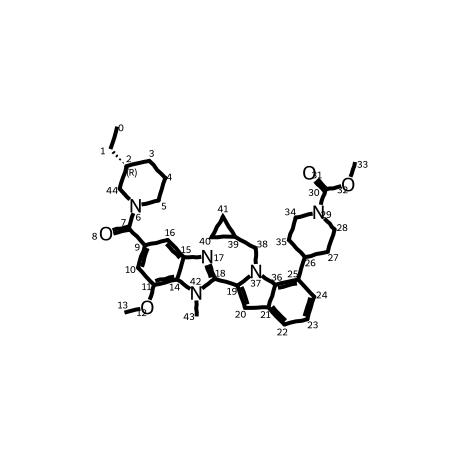 CC[C@@H]1CCCN(C(=O)c2cc(OC)c3c(c2)nc(-c2cc4cccc(C5CCN(C(=O)OC)CC5)c4n2CC2CC2)n3C)C1